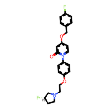 O=c1cc(OCc2ccc(F)cc2)ccn1-c1ccc(OCCN2CC[C@H](F)C2)cc1